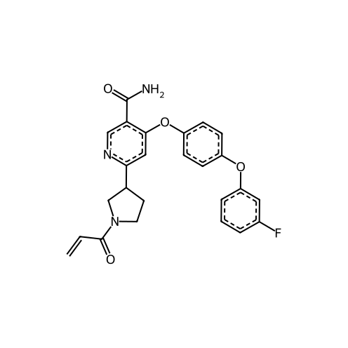 C=CC(=O)N1CCC(c2cc(Oc3ccc(Oc4cccc(F)c4)cc3)c(C(N)=O)cn2)C1